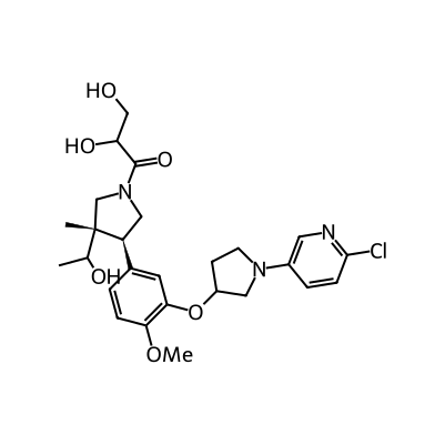 COc1ccc([C@@H]2CN(C(=O)C(O)CO)C[C@@]2(C)C(C)O)cc1OC1CCN(c2ccc(Cl)nc2)C1